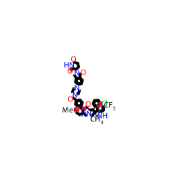 COc1cc(C(=O)N2CCN(c3ccc4c(c3)CN([C@H]3CCC(=O)NC3=O)C4=O)CC2)ccc1NC(=O)[C@H]1[C@H](c2cccc(Cl)c2F)[C@]2(CNc3cc(C(F)(F)F)ncc32)[C@H](C)N1CC1CCOCC1